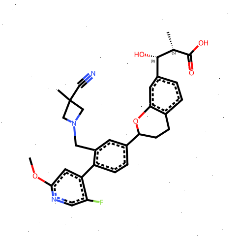 COc1cc(-c2ccc(C3CCc4ccc([C@H](O)[C@H](C)C(=O)O)cc4O3)cc2CN2CC(C)(C#N)C2)c(F)cn1